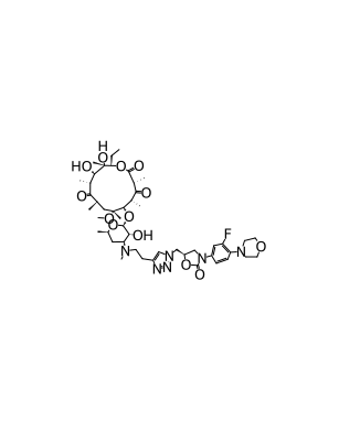 CC[C@H]1OC(=O)[C@H](C)C(=O)[C@H](C)[C@@H](O[C@@H]2O[C@H](C)C[C@H](N(C)CCc3cn(C[C@H]4CN(c5ccc(N6CCOCC6)c(F)c5)C(=O)O4)nn3)[C@H]2O)[C@](C)(OC)C[C@@H](C)C(=O)[C@H](C)[C@@H](O)[C@]1(C)O